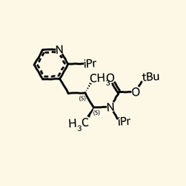 CC(C)c1ncccc1C[C@H](C)[C@H](C)N(C(=O)OC(C)(C)C)C(C)C